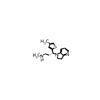 CNCC[C@H](c1cc(C)cs1)N1CCc2ncccc21